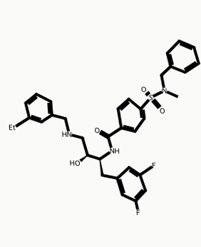 CCc1cccc(CNC[C@H](O)[C@H](Cc2cc(F)cc(F)c2)NC(=O)c2ccc(S(=O)(=O)N(C)Cc3ccccc3)cc2)c1